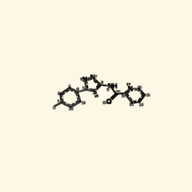 Cc1ccc(-c2nnc(NC(=O)c3ccccn3)s2)cc1